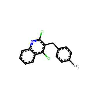 FC(F)(F)c1ccc(Cc2c(Cl)nc3ccccc3c2Cl)cc1